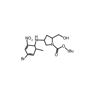 CC1C=C(Br)C=C([N+](=O)[O-])C1NC1CC(CO)N(C(=O)OC(C)(C)C)C1